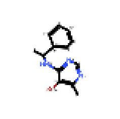 Cc1ncnc(NC(C)c2ccccc2)c1Br